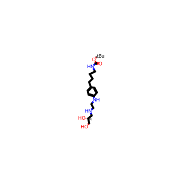 CC(C)(C)OC(=O)NCCCCc1ccc(NCCNC[C@@H](O)CO)cc1